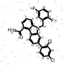 NC(=O)c1cccc2c1c1[c]cc(-c3ccc(Cl)cc3Cl)cc1n2Cc1cc(F)ccc1F